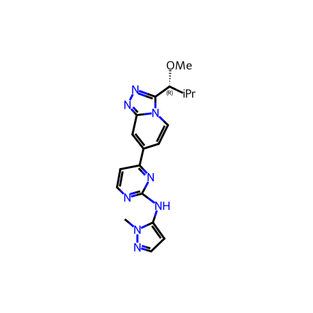 CO[C@@H](c1nnc2cc(-c3ccnc(Nc4ccnn4C)n3)ccn12)C(C)C